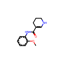 COc1ccccc1NC(=O)C1=CNCCC1